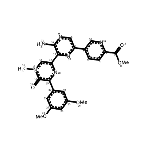 COC(=O)c1ccc(-c2cnc(N)c(-c3cn(C)c(=O)c(-c4cc(OC)cc(OC)c4)n3)n2)cn1